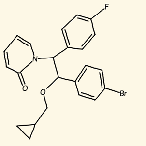 O=c1ccccn1C(c1ccc(F)cc1)C(OCC1CC1)c1ccc(Br)cc1